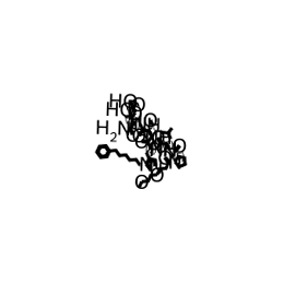 COCCOCCC(=O)N1CCC[C@H]1C(=O)N[C@@H](CC(C)C)C(=O)N[C@@H](Cc1cncn1CCCCCCc1ccccc1)C(=O)N[C@@H](CO)C(=O)N[C@H](C(N)=O)[C@@H](C)OP(=O)(O)O